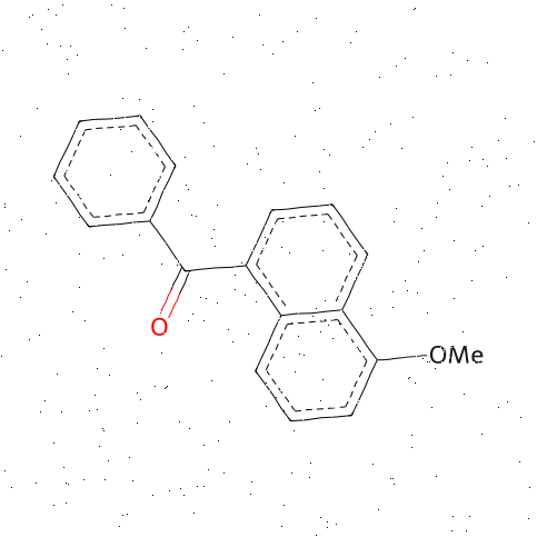 COc1cccc2c(C(=O)c3ccccc3)cccc12